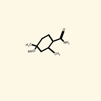 COC1(C)CCC(C(N)=O)C(C)C1